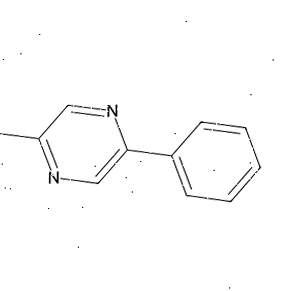 Ic1cnc(-c2ccccc2)cn1